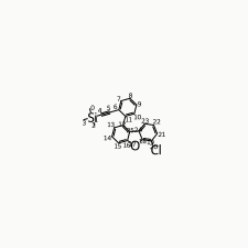 C[Si](C)(C)C#Cc1ccccc1-c1cccc2oc3c(Cl)cccc3c12